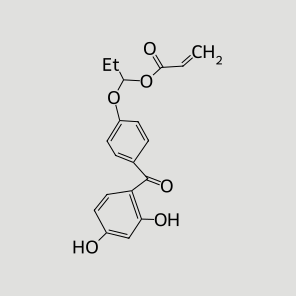 C=CC(=O)OC(CC)Oc1ccc(C(=O)c2ccc(O)cc2O)cc1